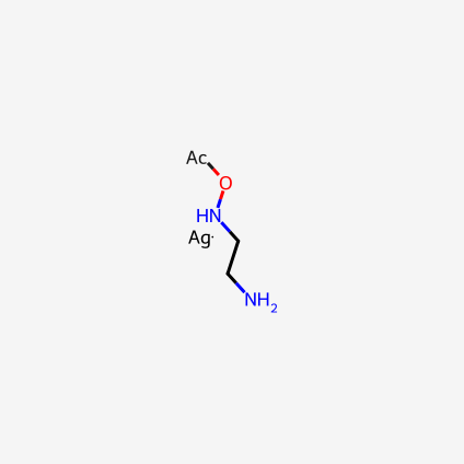 CC(=O)ONCCN.[Ag]